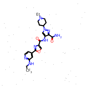 CCN1CCC(n2cc(NC(=O)c3coc(-c4ccnc(NCC(F)(F)F)c4)n3)c(C(N)=O)n2)CC1